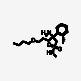 CCCCOCCCC(N)(CS(=O)(=O)NC)c1ccccc1F